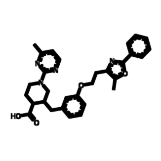 Cc1ccnc(N2CCC(C(=O)O)C(Cc3cccc(OCCc4nc(-c5ccccc5)oc4C)c3)C2)n1